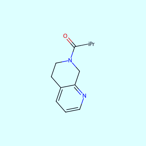 CC(C)C(=O)N1CCc2cccnc2C1